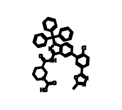 Cc1nnc(-c2ccc(Cl)c(-c3ccc4c(c3)c(NC(=O)[C@@H]3CCCN(C(=O)O)C3)nn4C(c3ccccc3)(c3ccccc3)c3ccccc3)c2)o1